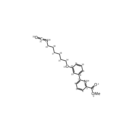 COC(=O)c1cccc(-c2cccc(OCCCCCCN=C=O)c2)n1